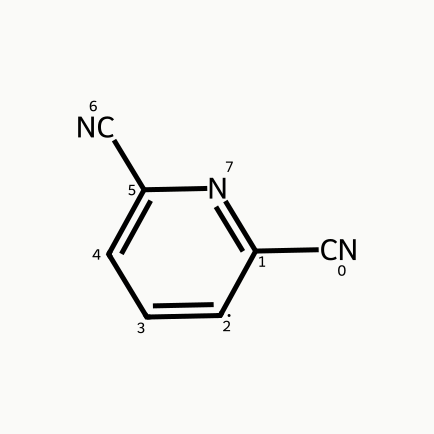 N#Cc1[c]ccc(C#N)n1